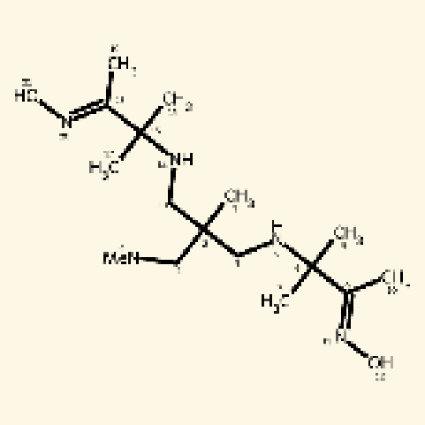 CNCC(C)(CNC(C)(C)/C(C)=N/O)CNC(C)(C)/C(C)=N/O